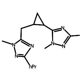 CCCc1nc(CC2CC2c2nc(C)nn2C)n(C)n1